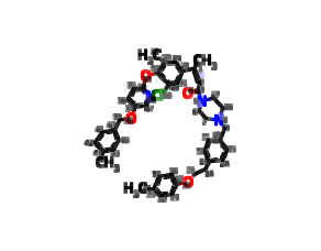 C/C(=C/C(=O)N1CCN(Cc2ccc(CCOc3ccc(C)cc3)cc2)CC1)c1cc(C)c(Oc2ccc(OCc3ccc(C)cc3)cn2)c(Cl)c1